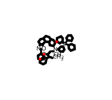 C=C(/C=c1/oc2ccccc2/c1=C/C)N(c1cccc([Si](c2ccccc2)(c2ccccc2)c2ccccc2)c1)c1ccc2ccc3ccc4nc(-c5ccccc5)oc4c3c2c1